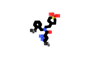 O=C(c1cc(C(F)(F)F)n[nH]1)N(CCC1CCS(O)(O)CC1)Cc1ccccc1[N+](=O)[O-]